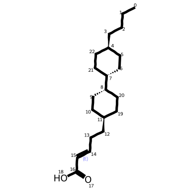 CCCC[C@H]1CC[C@H]([C@H]2CC[C@H](CC/C=C/C(=O)O)CC2)CC1